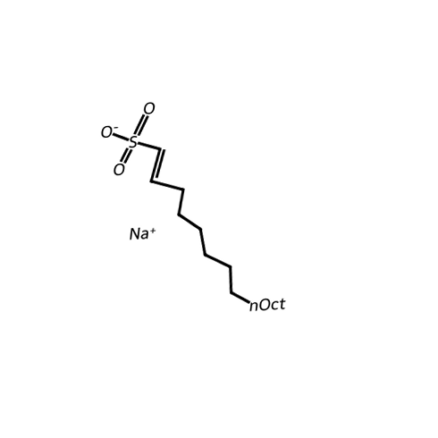 CCCCCCCCCCCCCC/C=C/S(=O)(=O)[O-].[Na+]